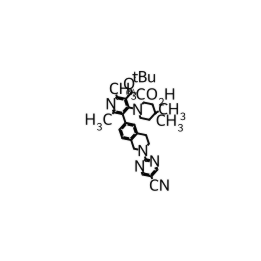 Cc1nc(C)c([C@H](OC(C)(C)C)C(=O)O)c(N2CCC(C)(C)CC2)c1-c1ccc2c(c1)CCN(c1ncc(C#N)cn1)C2